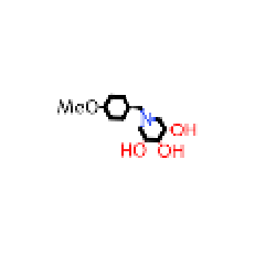 CO[C@H]1CC[C@@H](CN2C[C@@H](O)[C@H](O)[C@@H](O)C2)CC1